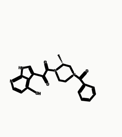 C[C@@H]1CN(C(=O)c2ccccc2)CCN1C(=O)C(=O)c1c[nH]c2nccc(O)c12